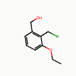 CCOc1cccc(CO)c1CBr